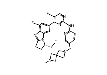 CN1CC2(C1)CN(Cc1ccc(Nc3ncc(F)c(-c4cc(F)c5nc6n(c5c4)[C@H](CF)CC6)n3)nc1)C2